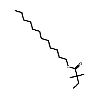 CCCCCCCCCCCCOC(=O)C(C)(C)CC